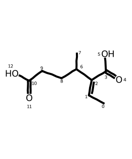 CC=C(C(=O)O)C(C)CCC(=O)O